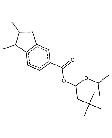 CC(C)OC(CC(C)(C)C)OC(=O)c1ccc2c(c1)CC(C)C2C